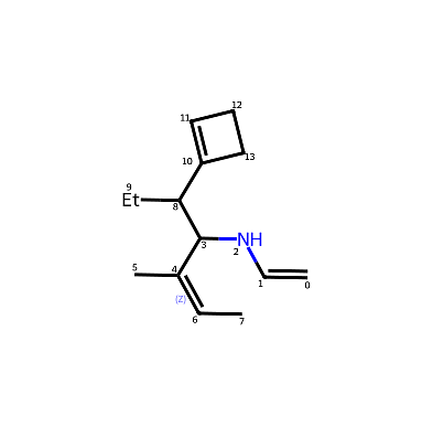 C=CNC(/C(C)=C\C)C(CC)C1=CCC1